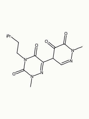 CC(C)CCn1c(=O)c(C2C=NN(C)C(=O)C2=O)nn(C)c1=O